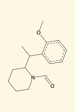 COc1ccccc1C(C)C1CCCCN1[C]=O